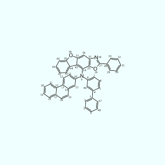 c1ccc(-c2cccc(N(c3ccc4c(ccc5ccccc54)c3)c3c4oc(-c5ccccc5)nc4cc4oc5ccccc5c34)c2)cc1